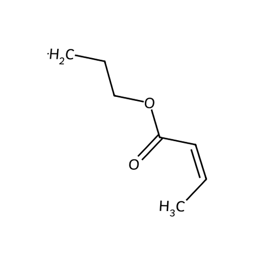 [CH2]CCOC(=O)/C=C\C